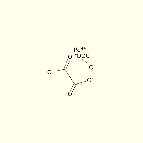 O=C([O-])C(=O)[O-].O=C([O-])[O-].[Pd+4]